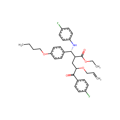 C=CCOC(CC(C(=O)OCC)[C@@H](Nc1ccc(F)cc1)c1ccc(OCCCC)cc1)C(=O)c1ccc(F)cc1